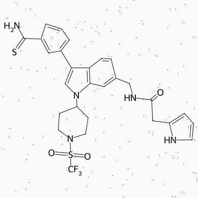 NC(=S)c1cccc(-c2cn(C3CCN(S(=O)(=O)C(F)(F)F)CC3)c3cc(CNC(=O)Cc4ccc[nH]4)ccc23)c1